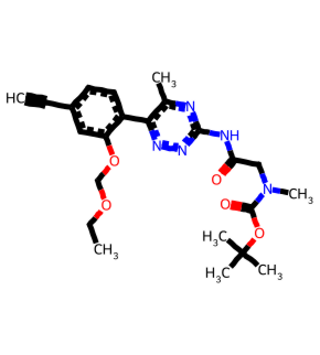 C#Cc1ccc(-c2nnc(NC(=O)CN(C)C(=O)OC(C)(C)C)nc2C)c(OCOCC)c1